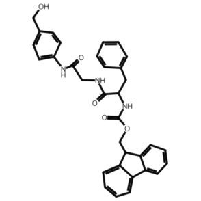 O=C(CNC(=O)C(Cc1ccccc1)NC(=O)OCC1c2ccccc2-c2ccccc21)Nc1ccc(CO)cc1